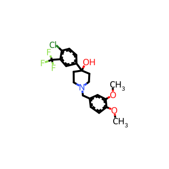 COc1ccc(CN2CCC(O)(c3ccc(Cl)c(C(F)(F)F)c3)CC2)cc1OC